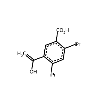 C=C(O)c1cc(C(=O)O)c(C(C)C)cc1C(C)C